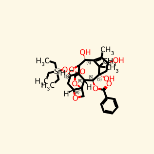 CC[Si](CC)(CC)O[C@H]1C[C@H]2OC[C@@]2(OC(C)=O)[C@H]2[C@H](OC(=O)c3ccccc3)[C@]3(O)C[C@H](O)C(C)=C([C@@H](O)C4O[C@@]412)C3(C)C